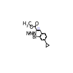 COC(=O)/C(=C/c1ccc(C2CC2)cc1Br)N=[N+]=[N-]